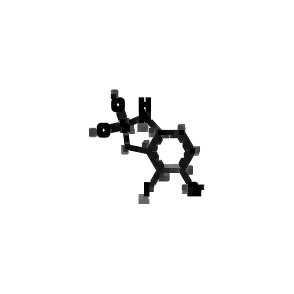 O=S1(=O)Cc2c(ccc(Br)c2F)N1